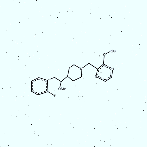 COC(Cc1ccccc1F)C1CCN(Cc2nccnc2OC(C)(C)C)CC1